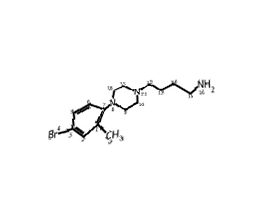 Cc1cc(Br)ccc1N1CCN(CCCCN)CC1